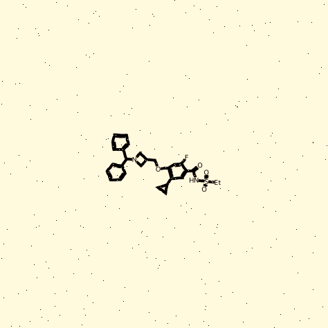 CCS(=O)(=O)NC(=O)c1cc(C2CC2)c(OCC2CN(C(c3ccccc3)c3ccccc3)C2)cc1F